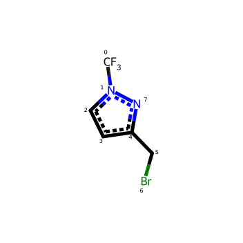 FC(F)(F)n1ccc(CBr)n1